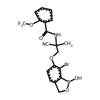 CC(C#N)(COc1ccc2c(c1Br)B(O)OC2)NC(=O)c1ccccc1OC(F)(F)F